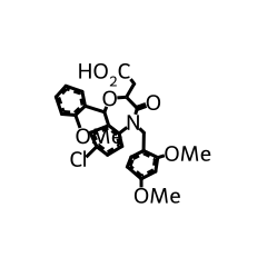 COc1ccc(CN2C(=O)C(CC(=O)O)OC(c3ccccc3OC)c3cc(Cl)ccc32)c(OC)c1